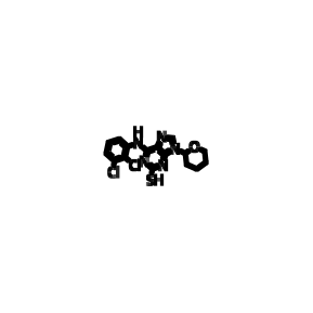 Sc1nc(Nc2cccc(Cl)c2Cl)c2ncn(C3CCCCO3)c2n1